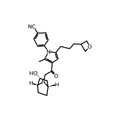 Cc1c(C(=O)CN2[C@H]3CC[C@@H]2[C@H](O)C3)cc(CCCC2COC2)n1-c1ccc(C#N)cc1